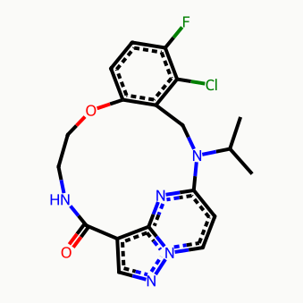 CC(C)N1Cc2c(ccc(F)c2Cl)OCCNC(=O)c2cnn3ccc1nc23